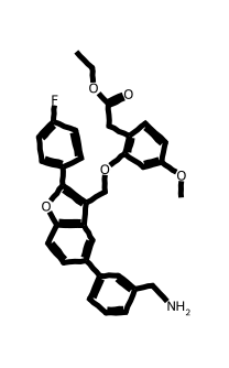 CCOC(=O)Cc1ccc(OC)cc1OCc1c(-c2ccc(F)cc2)oc2ccc(-c3cccc(CN)c3)cc12